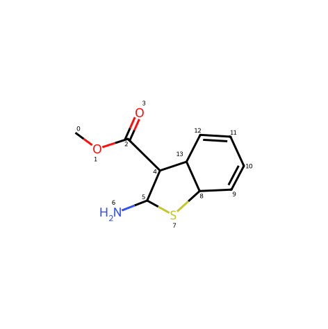 COC(=O)C1C(N)SC2C=CC=CC21